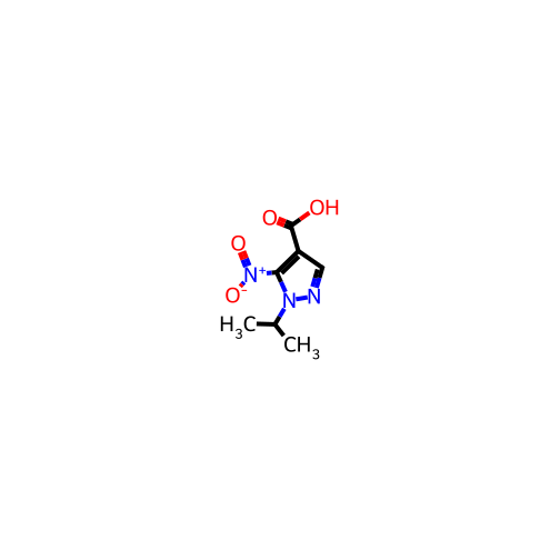 CC(C)n1ncc(C(=O)O)c1[N+](=O)[O-]